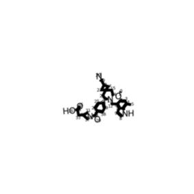 COc1cc(C)c2[nH]ccc2c1CN1CCC2(CC(C#N)C2)C[C@H]1c1ccc(C(=O)N2CC(CC(=O)O)C2)cc1